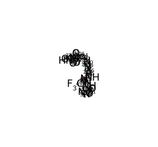 CN(c1nccnc1CNc1nc(Nc2ccc(N3CCN(Cc4ccc5c(c4)C(=O)N(N4CCC(=O)NC4=O)C5=O)CC3)cc2)ncc1C(F)(F)F)S(C)(=O)=O